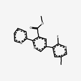 COC(=O)c1cc(-c2cc(C)cnc2F)cnc1-c1ccccn1